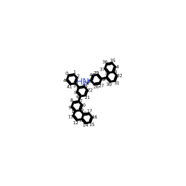 c1ccc(-c2cc(-c3ccc4ccc5ccccc5c4c3)ccc2Nc2ccc(-c3cccc4ccccc34)cc2)cc1